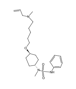 C=CCN(C)CCCCCO[C@H]1CC[C@H](N(C)S(=O)(=O)Nc2ccccc2)CC1